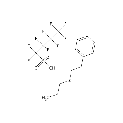 CCCSCCc1ccccc1.O=S(=O)(O)C(F)(F)C(F)(F)C(F)(F)C(F)(F)F